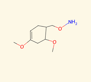 COC1=CCC(CON)C(OC)C1